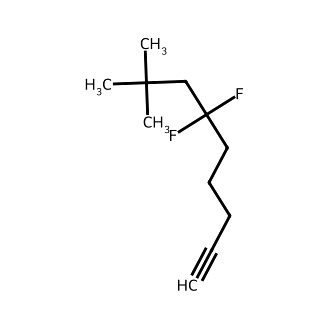 C#CCCCC(F)(F)CC(C)(C)C